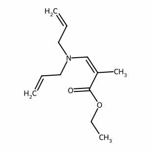 C=CCN(C=C(C)C(=O)OCC)CC=C